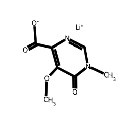 COc1c(C(=O)[O-])ncn(C)c1=O.[Li+]